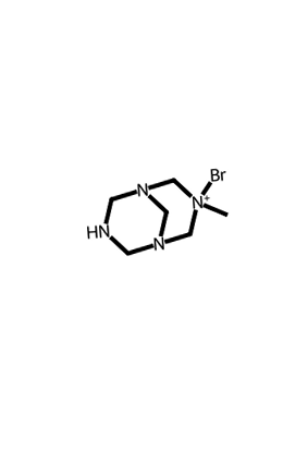 C[N+]1(Br)CN2CNCN(C2)C1